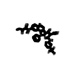 CCC(=O)C(=O)Nc1ccc2c(c1)-c1c(c(C(=O)C(C#N)C(=O)Nc3cccc(C(F)(F)F)c3)nn1-c1ccccc1)CS2